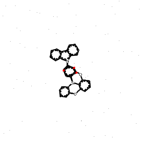 c1ccc([Si]23c4ccccc4Oc4cccc(c42)Oc2cc(-n4c5ccccc5c5ccccc54)ccc23)cc1